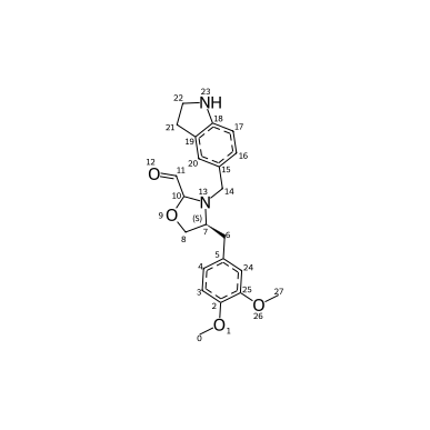 COc1ccc(C[C@H]2COC(C=O)N2Cc2ccc3c(c2)CCN3)cc1OC